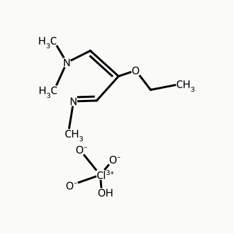 CCOC(C=NC)=CN(C)C.[O-][Cl+3]([O-])([O-])O